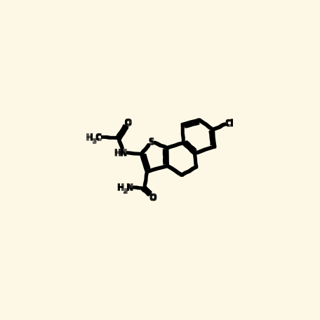 CC(=O)Nc1sc2c(c1C(N)=O)CCc1cc(Cl)ccc1-2